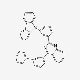 c1ccc(-c2cccc(-c3nc(-c4cccc(-n5c6ccccc6c6ccccc65)c4)nc4ccccc34)c2)cc1